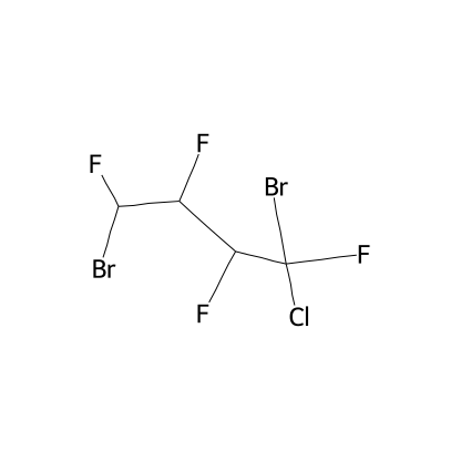 FC(Br)C(F)C(F)C(F)(Cl)Br